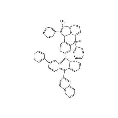 CC1=C(c2ccccc2)C2c3ccc(-c4c5ccccc5c(-c5ccc6ccccc6c5)c5ccc(-c6ccccc6)cc45)cc3P(=O)(c3ccccc3)c3cccc1c32